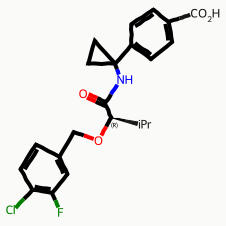 CC(C)[C@@H](OCc1ccc(Cl)c(F)c1)C(=O)NC1(c2ccc(C(=O)O)cc2)CC1